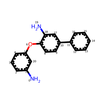 Nc1cccc(Oc2ccc(-c3ccccc3)cc2N)c1